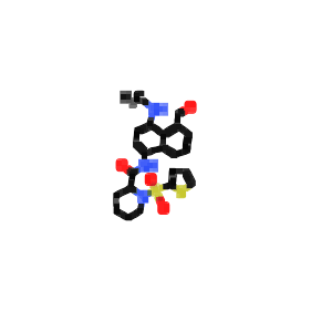 CNc1ccc(NC(=O)C2CCCCN2S(=O)(=O)c2cccs2)c2cccc(C=O)c12